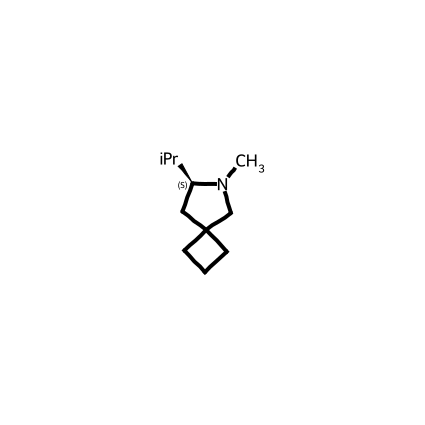 CC(C)[C@@H]1CC2(CCC2)CN1C